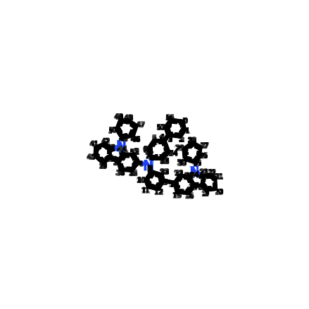 c1ccc(-c2ccc(N(c3cccc(-c4ccc5c6ccccc6n(-c6ccccc6)c5c4)c3)c3ccc4c5ccccc5n(-c5ccccc5)c4c3)cc2)cc1